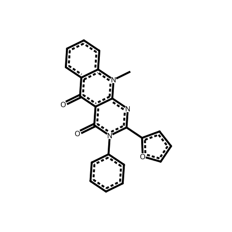 Cn1c2ccccc2c(=O)c2c(=O)n(-c3ccccc3)c(-c3ccco3)nc21